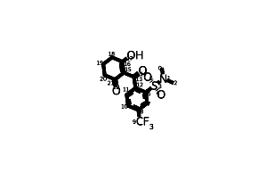 CN(C)S(=O)(=O)c1cc(C(F)(F)F)ccc1C(=O)C1=C(O)CCCC1=O